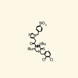 CCCCNC(=S)N(Cc1cccc(Cl)c1Cl)CC(NC(=O)Cc1cncn1Cc1ccc([N+](=O)[O-])cc1)C(C)CC